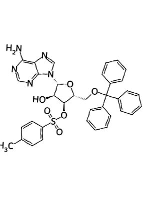 Cc1ccc(S(=O)(=O)O[C@H]2[C@@H](O)[C@H](n3cnc4c(N)ncnc43)O[C@@H]2COC(c2ccccc2)(c2ccccc2)c2ccccc2)cc1